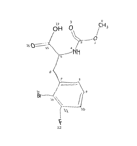 COC(=O)NC(Cc1cccc(F)c1Br)C(=O)O